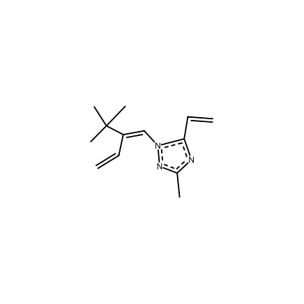 C=C/C(=C\n1nc(C)nc1C=C)C(C)(C)C